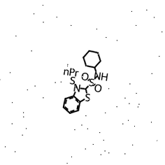 CCCSN1c2ccccc2SC1S(=O)(=O)NC1CCCCC1